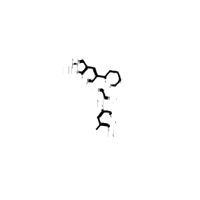 Cc1cc(NC(=O)C(=O)N2C[C@@H](C)CCC2c2cnc3[nH]ncc3c2)cnc1N